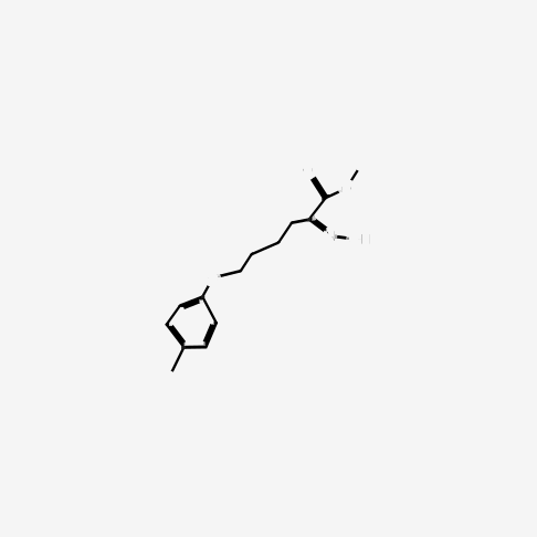 COC(=O)C(CCCCOc1ccc(C)cc1)=NO